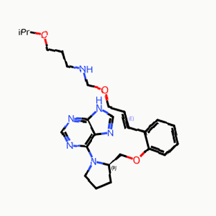 CC(C)OCCCNCOC/C=C/c1ccccc1OC[C@H]1CCCN1c1ncnc2[nH]cnc12